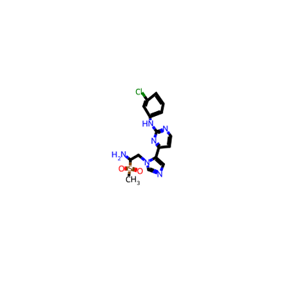 CS(=O)(=O)C(N)Cn1cncc1-c1ccnc(Nc2cccc(Cl)c2)n1